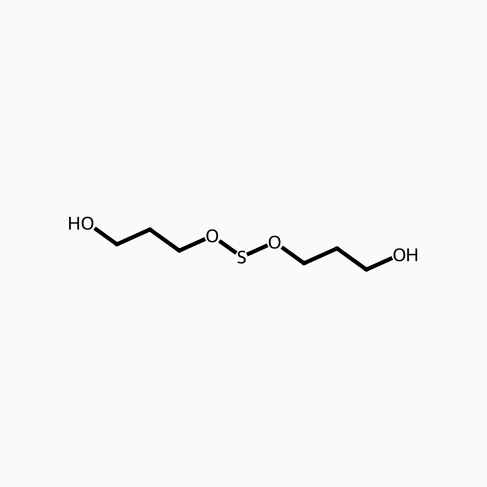 OCCCOSOCCCO